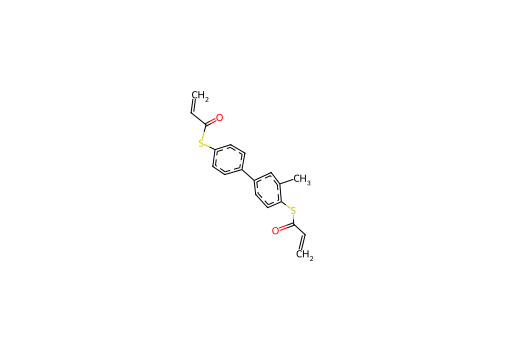 C=CC(=O)Sc1ccc(-c2ccc(SC(=O)C=C)c(C)c2)cc1